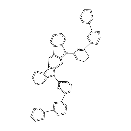 C1=C(n2c3ccccc3c3cc4c5ccccc5n(-c5cccc(-c6cccc(-c7ccccc7)c6)n5)c4cc32)N=C(c2cccc(-c3ccccc3)c2)CC1